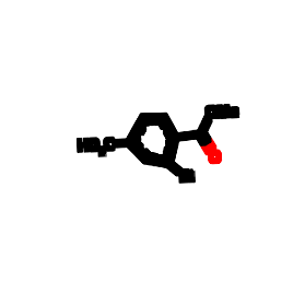 CCc1cc(C(=O)O)ccc1C(=O)OC